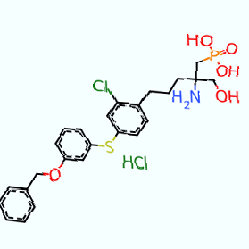 Cl.NC(CO)(CCCc1ccc(Sc2cccc(OCc3ccccc3)c2)cc1Cl)CP(=O)(O)O